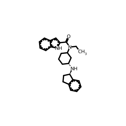 CCN(C(=O)c1cc2ccccc2[nH]1)C1CCC[C@@H](N[C@@H]2CCc3ccccc32)C1